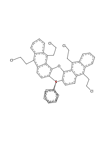 ClCCc1c2ccccc2c(CCCl)c2c(Oc3c(Sc4ccccc4)ccc4c(CCCl)c5ccccc5c(CCCl)c34)c(Sc3ccccc3)ccc12